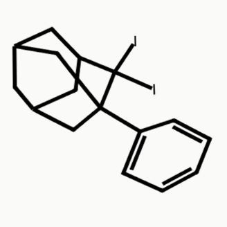 IC1(I)C2CC3CC(C2)CC1(c1ccccc1)C3